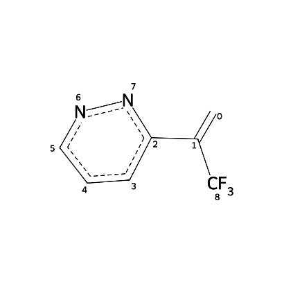 C=C(c1cccnn1)C(F)(F)F